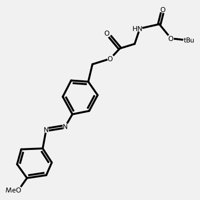 COc1ccc(N=Nc2ccc(COC(=O)CNC(=O)OC(C)(C)C)cc2)cc1